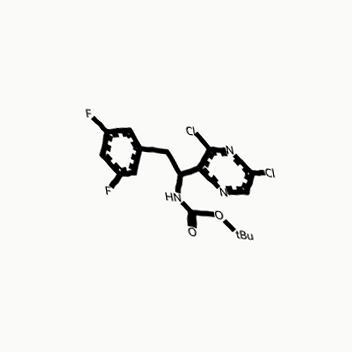 CC(C)(C)OC(=O)NC(Cc1cc(F)cc(F)c1)c1ncc(Cl)nc1Cl